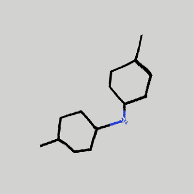 CC1CCC([N]C2CCC(C)CC2)CC1